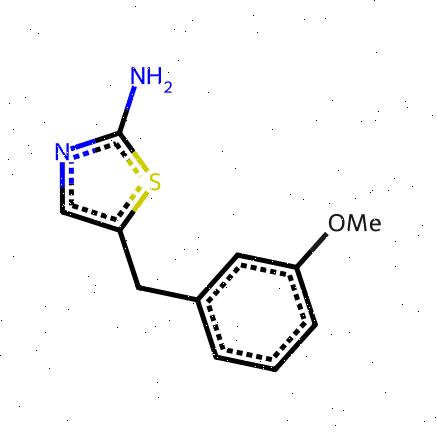 COc1cccc(Cc2cnc(N)s2)c1